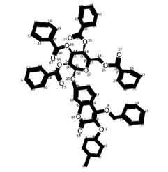 CC1CCC(Oc2c(OCc3ccccc3)c3ccc(O[C@@H]4O[C@H](COC(=O)c5ccccc5)[C@H](OC(=O)c5ccccc5)[C@H](OC(=O)c5ccccc5)[C@H]4OC(=O)c4ccccc4)cc3oc2=O)CC1